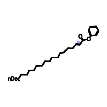 CCCCCCCCCCCCCCCCCCCCCCCC/C=C/C(=O)Oc1ccccc1